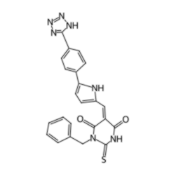 O=C1NC(=S)N(Cc2ccccc2)C(=O)/C1=C\c1ccc(-c2ccc(-c3nnn[nH]3)cc2)[nH]1